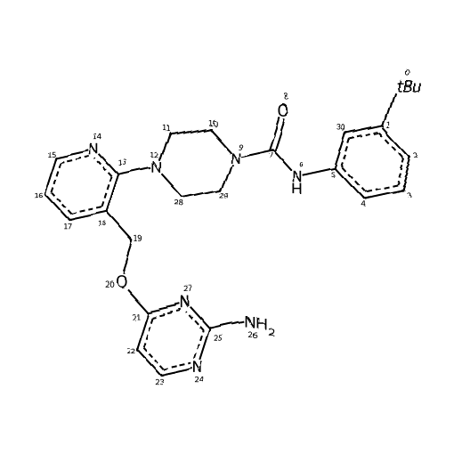 CC(C)(C)c1cccc(NC(=O)N2CCN(c3ncccc3COc3ccnc(N)n3)CC2)c1